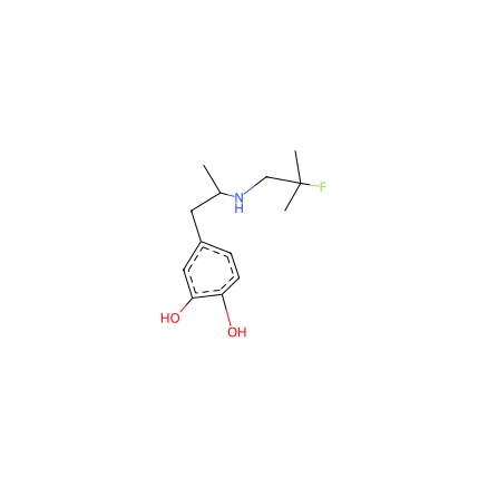 CC(Cc1ccc(O)c(O)c1)NCC(C)(C)F